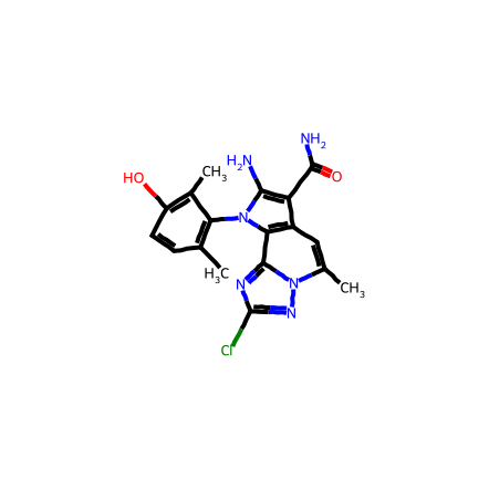 Cc1ccc(O)c(C)c1-n1c(N)c(C(N)=O)c2cc(C)n3nc(Cl)nc3c21